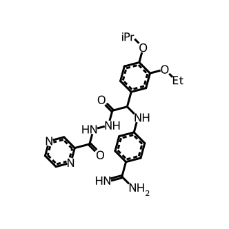 CCOc1cc(C(Nc2ccc(C(=N)N)cc2)C(=O)NNC(=O)c2cnccn2)ccc1OC(C)C